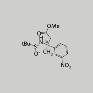 COC(=O)C[C@](C)(N[S+]([O-])C(C)(C)C)c1cccc([N+](=O)[O-])c1